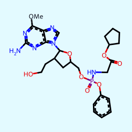 COc1nc(N)nc2c1ncn2C1OC(COP(=O)(NCC(=O)OC2CCCC2)Oc2ccccc2)CC1CCO